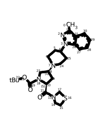 Cc1nn(C2CCN([C@H]3C[C@@H](C(=O)N4CCSC4)N(C(=O)OC(C)(C)C)C3)CC2)c2ccccc12